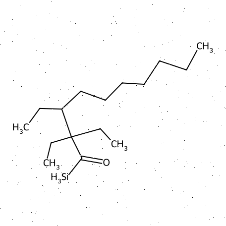 CCCCCCCC(CC)C(CC)(CC)C(=O)[SiH3]